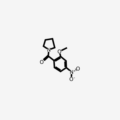 COc1cc([N+](=O)[O-])ccc1C(=O)N1CCCC1